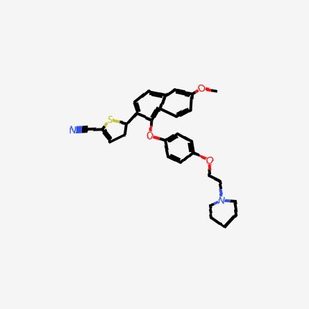 COc1ccc2c(Oc3ccc(OCCN4CCCCC4)cc3)c(C3CC=C(C#N)S3)ccc2c1